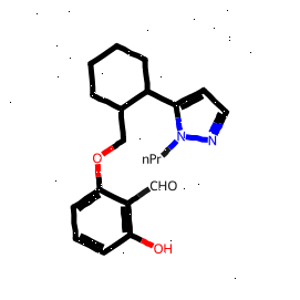 CCCn1nccc1C1CCCCC1COc1cccc(O)c1C=O